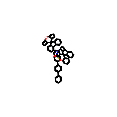 c1ccc(-c2ccc(-c3ccc(N(c4cccc5c4-c4ccccc4C54c5ccccc5Oc5ccccc54)c4cccc5c4C4(c6ccccc6Sc6ccccc64)c4ccccc4-5)cc3)cc2)cc1